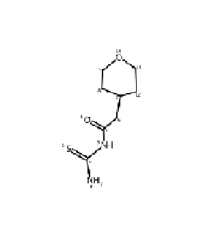 NC(=S)NC(=O)CC1CCOCC1